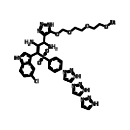 CCOCCOCCOCOc1[nH]nnc1C(N)C(N)=C(c1c[nH]c2ccc(Cl)cc12)S(=O)(=O)c1ccccc1.c1c[nH]nn1.c1c[nH]nn1.c1c[nH]nn1